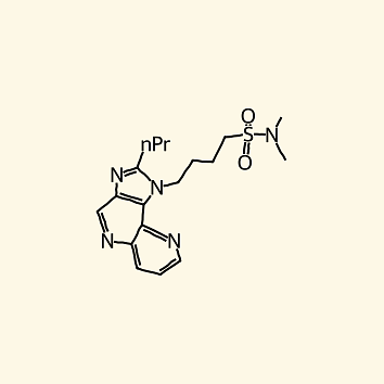 CCCc1nc2cnc3cccnc3c2n1CCCCS(=O)(=O)N(C)C